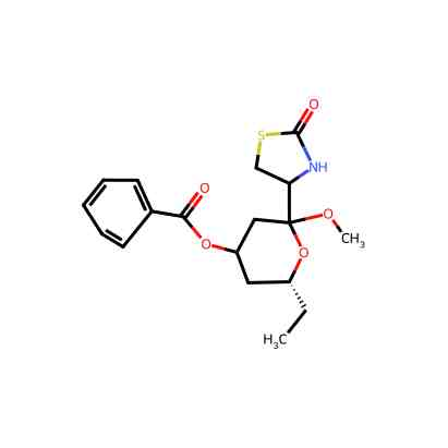 CC[C@@H]1CC(OC(=O)c2ccccc2)CC(OC)(C2CSC(=O)N2)O1